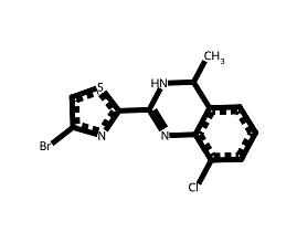 CC1NC(c2nc(Br)cs2)=Nc2c(Cl)cccc21